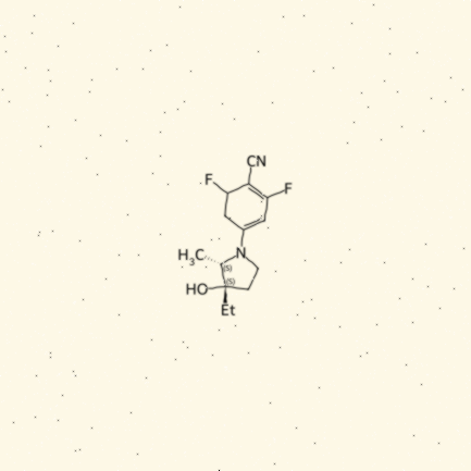 CC[C@]1(O)CCN(C2=CC(F)=C(C#N)C(F)C2)[C@H]1C